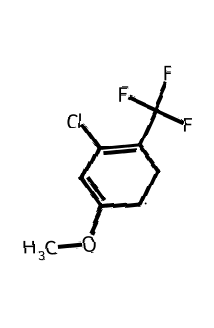 COC1=CC(Cl)=C(C(F)(F)F)C[CH]1